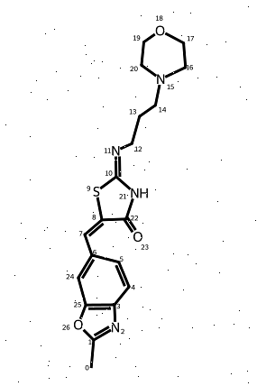 Cc1nc2ccc(C=C3SC(=NCCCN4CCOCC4)NC3=O)cc2o1